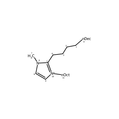 CCCCCCCCCCCCCCc1n(C)cc[n+]1CCCCCCCC